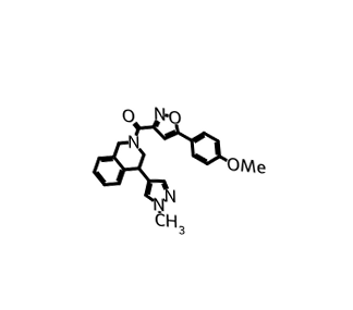 COc1ccc(-c2cc(C(=O)N3Cc4ccccc4C(c4cnn(C)c4)C3)no2)cc1